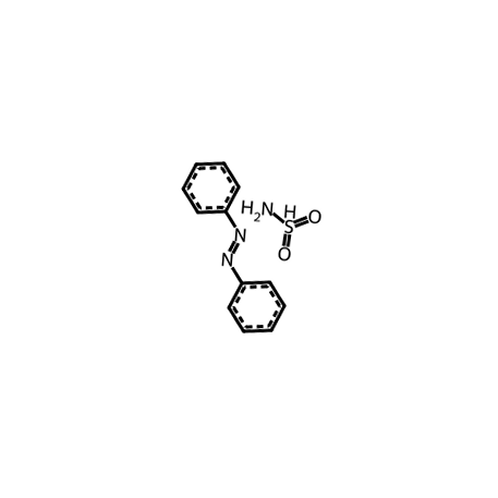 N[SH](=O)=O.c1ccc(/N=N/c2ccccc2)cc1